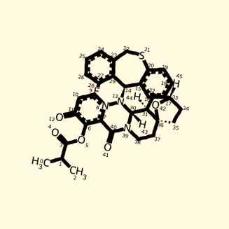 CC(C)C(=O)Oc1c2n(ccc1=O)N([C@@H]1c3ccccc3SCc3cccc(F)c31)[C@@H]1[C@H]3C[C@@H]4CC[C@@]3(CCN1C2=O)O4